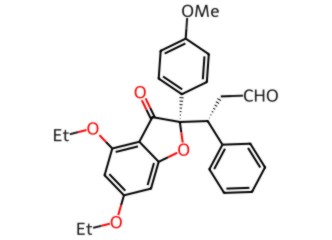 CCOc1cc(OCC)c2c(c1)O[C@](c1ccc(OC)cc1)([C@H](CC=O)c1ccccc1)C2=O